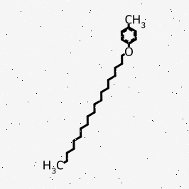 CCCCCCCCCCCCCCCCCCCOc1ccc(C)cc1